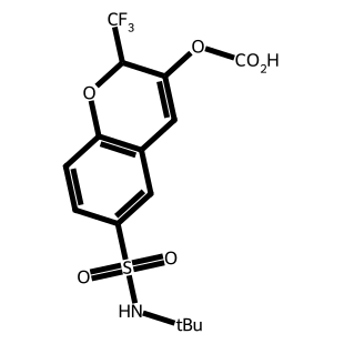 CC(C)(C)NS(=O)(=O)c1ccc2c(c1)C=C(OC(=O)O)C(C(F)(F)F)O2